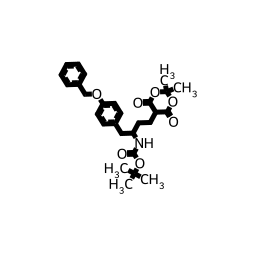 CC(C)(C)OC(=O)NC(CCC1C(=O)OC(C)(C)OC1=O)Cc1ccc(OCc2ccccc2)cc1